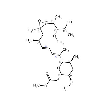 COC(=O)C[C@@H]1O[C@H](/C(C)=C/C=C/[C@@H](C)C[C@@]2(C)O[C@@H]2[C@H](C)[C@@H](OC)[C@@H](C)O)[C@@H](C)C[C@H]1OC